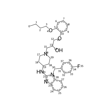 CCCCOc1ccccc1OCC(O)CN1CCC(Nc2nc3ccccc3n2Cc2ccc(F)cc2)CC1